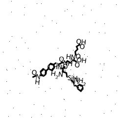 CC(=O)Nc1ccc(-c2ccc(C[C@@H](NC(=O)[C@@H](N)CC[SiH2]C[C@@H](N)Cc3ccccc3)C(=O)NCC[C@@H](NC(=O)CCCC(=O)O)C(=O)O)cc2)cc1